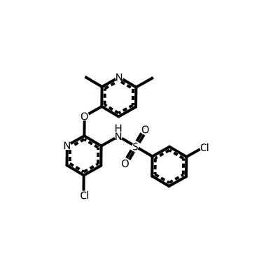 Cc1ccc(Oc2ncc(Cl)cc2NS(=O)(=O)c2cccc(Cl)c2)c(C)n1